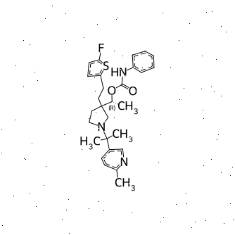 Cc1ccc(C(C)(C)N2CCC(CCc3ccc(F)s3)([C@@H](C)OC(=O)Nc3ccccc3)C2)cn1